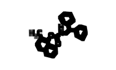 Cc1ccc2ccccc2c1OC(=O)NCC(c1ccccc1)c1ccccc1